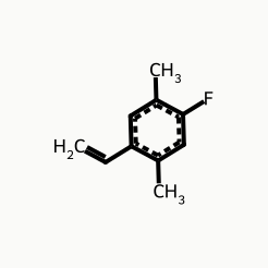 C=Cc1cc(C)c(F)cc1C